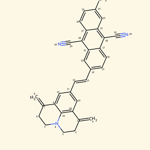 C=C1CCN2CCC(=C)c3cc(C=Cc4ccc5c(C#N)c6cc(C)ccc6c(C#N)c5c4)cc1c32